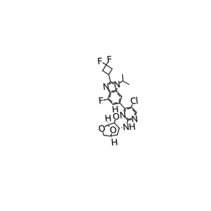 CC(C)n1c(C2CC(F)(F)C2)nc2c(F)cc(-c3nc(N[C@@H]4C[C@H]5CO[C@H](O5)[C@H]4O)ncc3Cl)cc21